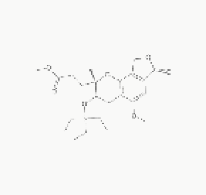 CC[Si](CC)(CC)OC1Cc2c(OC)cc3c(c2O[C@@]1(C)CCC(=O)OC)COC3=O